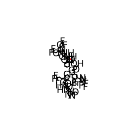 CC(C)OC(=O)c1cc(-c2nn(C)c(C(F)(F)F)c2Br)c(F)cc1Cl.COc1nc(C)nc(NC(=O)NS(=O)(=O)c2ccccc2CCC(F)(F)F)n1.O=C(Nc1nc(OC(F)F)cc(OC(F)F)n1)NS(=O)(=O)c1ccccc1C(=O)O